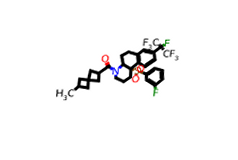 CC1CC2(C1)CC(C(=O)N1CCCC3(S(=O)(=O)c4cccc(F)c4)c4ccc(C(F)(C(F)(F)F)C(F)(F)F)cc4CCC13)C2